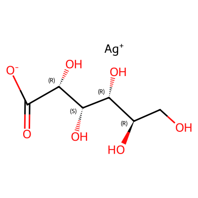 O=C([O-])[C@H](O)[C@@H](O)[C@H](O)[C@H](O)CO.[Ag+]